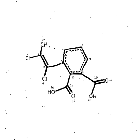 C/C(Cl)=C(/Cl)c1cccc(C(=O)O)c1C(=O)O